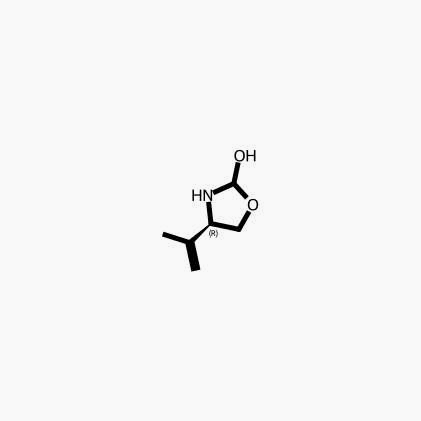 C=C(C)[C@@H]1COC(O)N1